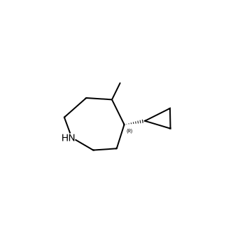 CC1CCNCC[C@H]1C1CC1